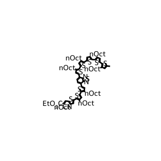 CCCCCCCCc1cc(-c2sc(-c3sc(-c4ccc(-c5cc(CCCCCCCC)c(-c6cc(CCCCCCCC)c(-c7cc(CCCCCCCC)c(-c8ccc(-c9sc(C)cc9CCCCCCCC)s8)s7)s6)s5)c5nsnc45)cc3CCCCCCCC)cc2CCCCCCCC)sc1/C=C(\C#N)C(=O)OCC